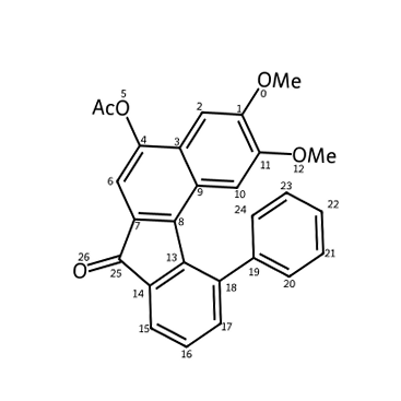 COc1cc2c(OC(C)=O)cc3c(c2cc1OC)-c1c(cccc1-c1ccccc1)C3=O